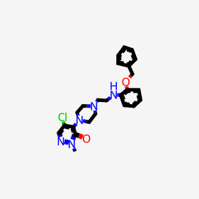 Cn1ncc(Cl)c(N2CCN(CCNc3ccccc3OCc3ccccc3)CC2)c1=O